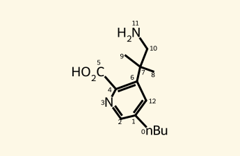 CCCCc1cnc(C(=O)O)c(C(C)(C)CN)c1